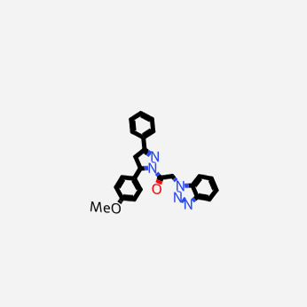 COc1ccc(C2CC(c3ccccc3)=NN2C(=O)Cn2nnc3ccccc32)cc1